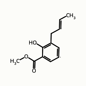 CC=CCc1c[c]cc(C(=O)OC)c1O